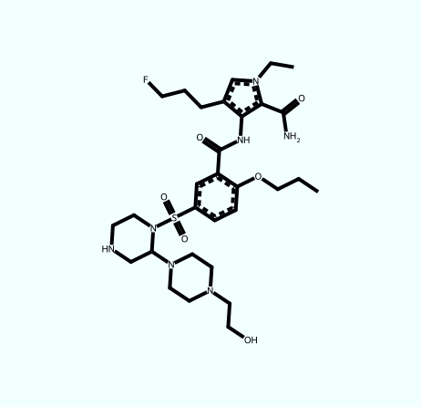 CCCOc1ccc(S(=O)(=O)N2CCNCC2N2CCN(CCO)CC2)cc1C(=O)Nc1c(CCCF)cn(CC)c1C(N)=O